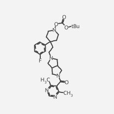 Cc1ncnc(C)c1C(=O)N1CC2CN(CCC3(c4cccc(F)c4)CCN(OC(=O)OC(C)(C)C)CC3)CC2C1